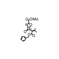 COC(=O)C1=NC2C(=O)N(C(C(=O)OCc3ccccc3)=C(C)C)C2O1